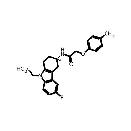 Cc1ccc(OCC(=O)N[C@H]2CCc3c(c4cc(F)ccc4n3CC(=O)O)C2)cc1